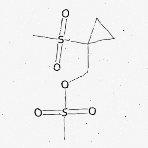 CS(=O)(=O)OCC1(S(C)(=O)=O)CC1